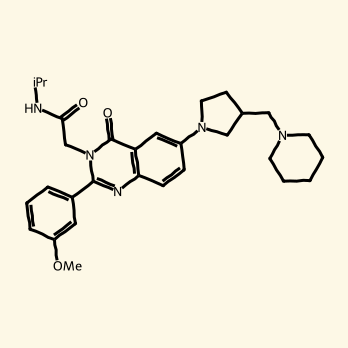 COc1cccc(-c2nc3ccc(N4CCC(CN5CCCCC5)C4)cc3c(=O)n2CC(=O)NC(C)C)c1